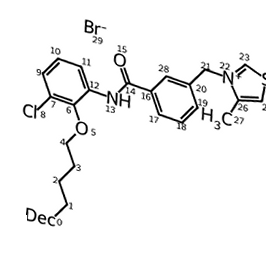 CCCCCCCCCCCCCCOc1c(Cl)cccc1NC(=O)c1cccc(C[n+]2cscc2C)c1.[Br-]